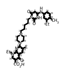 CCc1cc(Nc2cc(=O)n(CCCCCN3CCN(c4nc5c(cc4F)c(=O)c(C(=O)O)cn5CC)CC3)c(=O)[nH]2)ccc1C